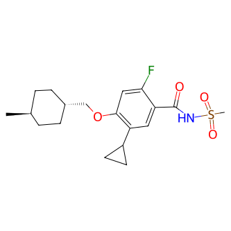 CS(=O)(=O)NC(=O)c1cc(C2CC2)c(OC[C@H]2CC[C@H](C)CC2)cc1F